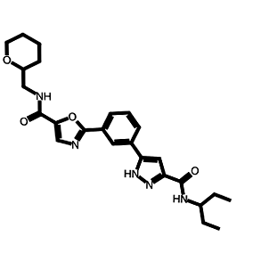 CCC(CC)NC(=O)c1cc(-c2cccc(-c3ncc(C(=O)NCC4CCCCO4)o3)c2)[nH]n1